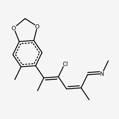 C/N=C/C(C)=C\C(Cl)=C(/C)c1cc2c(cc1C)OCO2